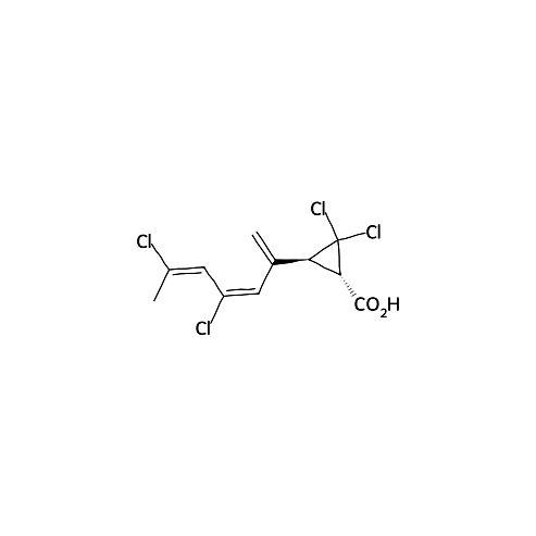 C=C(/C=C(Cl)\C=C(/C)Cl)[C@@H]1[C@@H](C(=O)O)C1(Cl)Cl